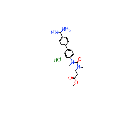 COC(=O)CCN(C)C(=O)N(C)c1ccc(-c2ccc(C(=N)N)cc2)cc1.Cl